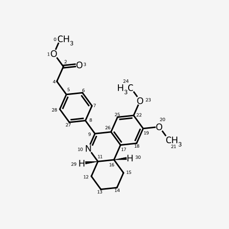 COC(=O)Cc1ccc(C2=N[C@H]3CCCC[C@H]3c3cc(OC)c(OC)cc32)cc1